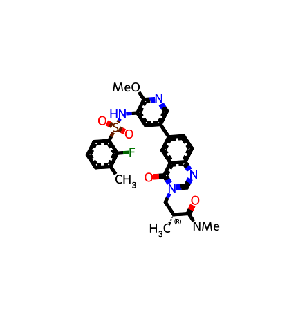 CNC(=O)[C@H](C)Cn1cnc2ccc(-c3cnc(OC)c(NS(=O)(=O)c4cccc(C)c4F)c3)cc2c1=O